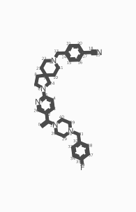 C=C(c1ccc(N2CCC3(CCN(Cc4ccc(C#N)cc4)CC3)C2)nc1)N1CCN(Cc2ccc(F)cc2)CC1